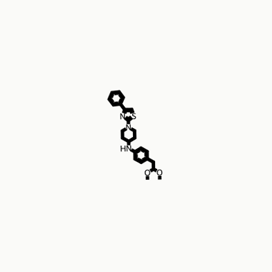 COC(Cc1ccc(NC2CCN(c3nc(-c4ccccc4)cs3)CC2)cc1)OC